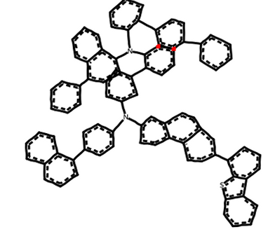 c1ccc(-c2ccc(-c3ccccc3N(c3ccccc3-c3cccc(N(c4ccc(-c5cccc6ccccc56)cc4)c4ccc5c(ccc6cc(-c7cccc8c7sc7ccccc78)ccc65)c4)c3)c3ccc(-c4ccccc4)c4ccccc34)cc2)cc1